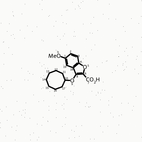 COc1ccc2oc(C(=O)O)c(OC3CCCCCCC3)c2c1